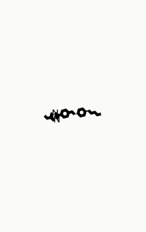 CCCCC[C@H]1CC[C@H](CCC2CCC(c3ncc(CC)cn3)CC2)CC1